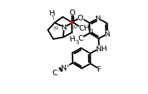 [C-]#[N+]c1ccc(Nc2ncnc(O[C@H]3CC4CC[C@@H](C3)N4C(C)=O)c2C)c(F)c1